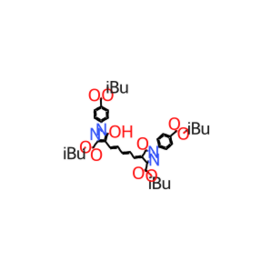 CCC(C)OC(=O)C1=NN(c2ccc(C(=O)OC(C)CC)cc2)C(=O)\C1=C/C=C/C=C/c1c(C(=O)OC(C)CC)nn(-c2ccc(C(=O)OC(C)CC)cc2)c1O